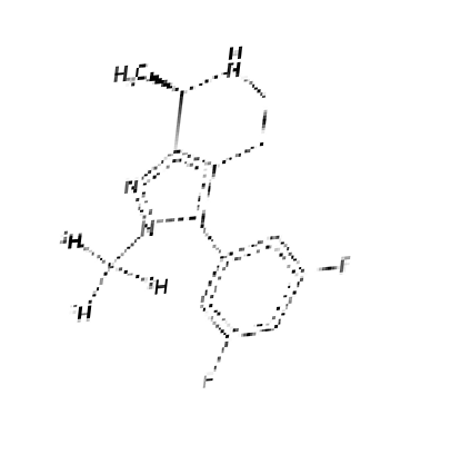 [2H]C([2H])([2H])n1nc2c(c1-c1cc(F)cc(F)c1)CCN[C@@H]2C